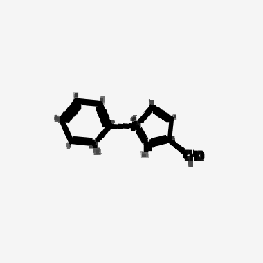 O=Cc1ccn(-c2ccccn2)n1